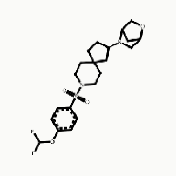 O=S(=O)(c1ccc(OC(F)F)cc1)N1CCC2(CC[C@@H](N3CC4CC3CO4)C2)CC1